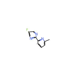 Cc1cc[c]c(-c2ncc(F)cn2)n1